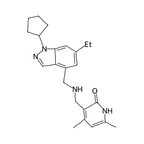 CCc1cc(CNCc2c(C)cc(C)[nH]c2=O)c2cnn(C3CCCC3)c2c1